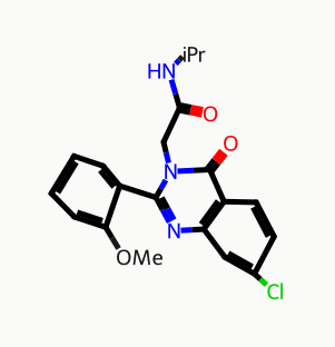 COc1ccccc1-c1nc2cc(Cl)ccc2c(=O)n1CC(=O)NC(C)C